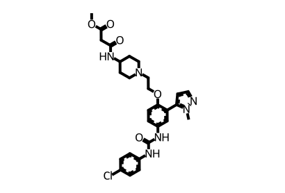 COC(=O)CC(=O)NC1CCN(CCOc2ccc(NC(=O)Nc3ccc(Cl)cc3)cc2-c2ccnn2C)CC1